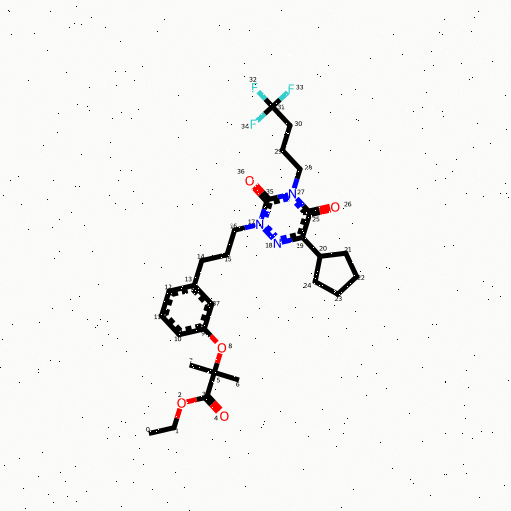 CCOC(=O)C(C)(C)Oc1cccc(CCCn2nc(C3CCCC3)c(=O)n(CCCC(F)(F)F)c2=O)c1